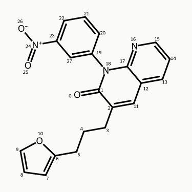 O=c1c(CCCc2ccco2)cc2cccnc2n1-c1cccc([N+](=O)[O-])c1